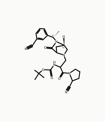 C[C@@H](c1cccc(C#N)c1)N1C(=O)C2C[C@H]1CN2CC(NC(=O)OC(C)(C)C)C(=O)N1CCCC1C#N